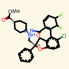 COC(=O)[C@H]1CC[C@@H](NC[C@@]2(c3ccccc3)Cc3c(ccc(Cl)c3C3=C(C(N)=O)C=CC(F)C3F)O2)CC1